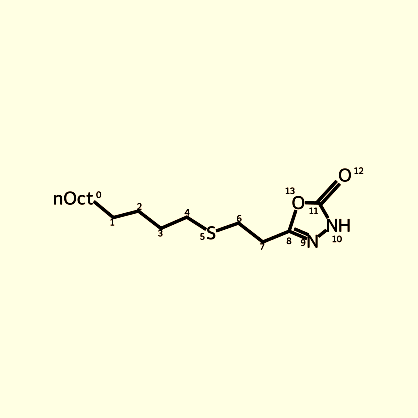 CCCCCCCCCCCCSCCc1n[nH]c(=O)o1